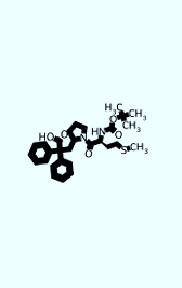 CSCC[C@H](NC(=O)OC(C)(C)C)C(=O)N1CCCC1CC(C(=O)O)(c1ccccc1)c1ccccc1